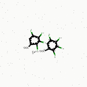 O=C([O-])c1cc(F)c(F)c(F)c1F.O=C([O-])c1cc(F)c(F)c(F)c1F.[Ca+2]